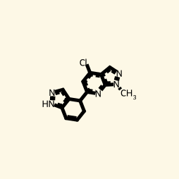 Cn1ncc2c(Cl)cc(C3CC=Cc4[nH]ncc43)nc21